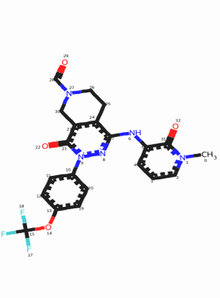 Cn1cccc(Nc2nn(-c3ccc(OC(F)(F)F)cc3)c(=O)c3c2CCN(C=O)C3)c1=O